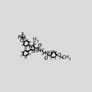 CCOc1ccc(C(=O)NCCNC(=O)c2cc(-c3ccccc3)n(-c3ccc(OC(F)(F)F)cc3)c2C)cc1